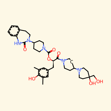 Cc1cc(C[C@@H](OC(=O)N2CCC(N3CCc4ccccc4NC3=O)CC2)C(=O)N2CCC(N3CCC(O)(CO)CC3)CC2)cc(C)c1O